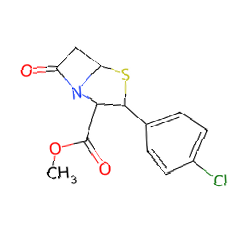 COC(=O)C1C(c2ccc(Cl)cc2)SC2CC(=O)N21